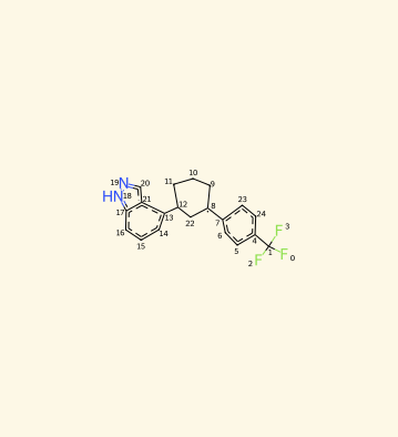 FC(F)(F)c1ccc([C]2CCCC(c3cccc4[nH]ncc34)C2)cc1